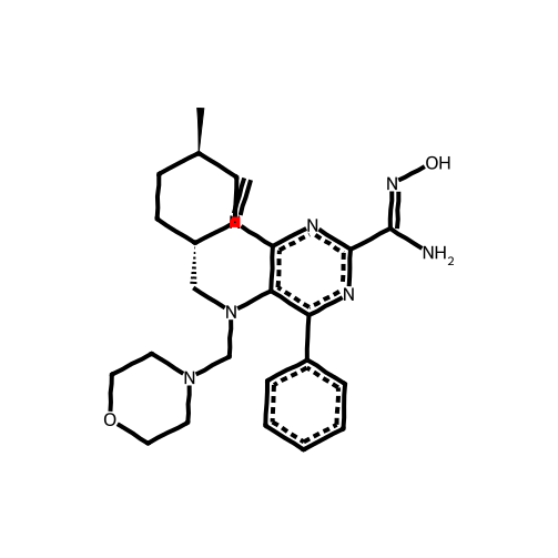 C=Nc1nc(/C(N)=N/O)nc(-c2ccccc2)c1N(CN1CCOCC1)C[C@H]1CC[C@H](C)CC1